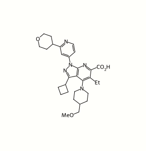 CCc1c(C(=O)O)nc2c(c(C3CCC3)nn2-c2ccnc(C3CCOCC3)c2)c1N1CCC(COC)CC1